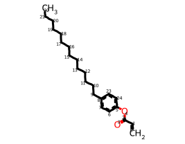 C=CC(=O)Oc1ccc(CCCCCCCCCCCCCC)cc1